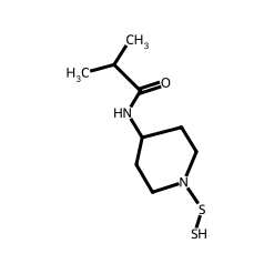 CC(C)C(=O)NC1CCN(SS)CC1